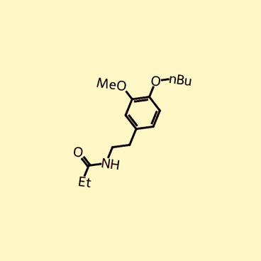 CCCCOc1ccc(CCNC(=O)CC)cc1OC